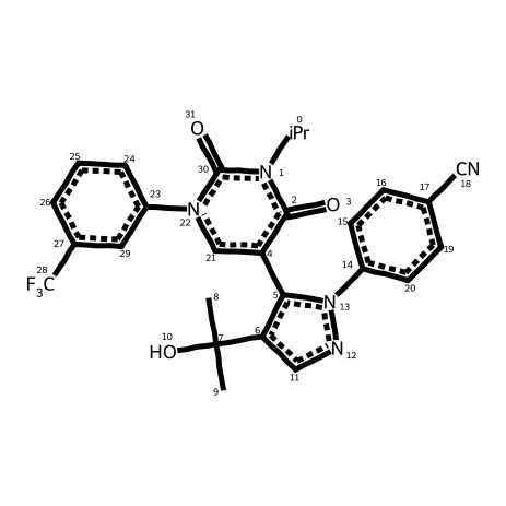 CC(C)n1c(=O)c(-c2c(C(C)(C)O)cnn2-c2ccc(C#N)cc2)cn(-c2cccc(C(F)(F)F)c2)c1=O